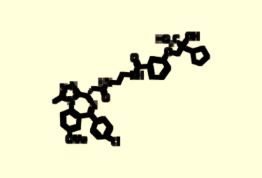 COc1ccc2c(c1)C(c1ccc(Cl)cc1)=N[C@@H](CC(=O)NCCNC(=O)c1cccc(OCC(O)(C(=O)O)C3CCCC3)c1)c1nnc(C)n1-2